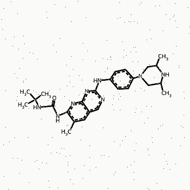 Cc1cc2cnc(Nc3ccc(N4CC(C)NC(C)C4)cc3)nc2nc1NC(=O)NC(C)(C)C